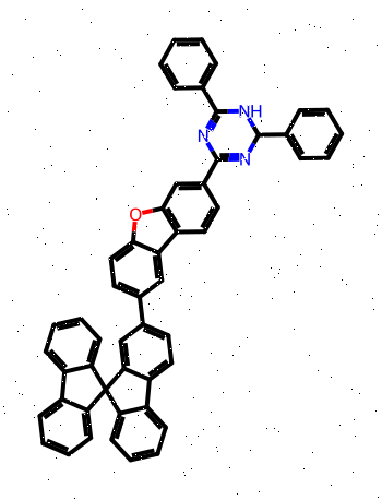 c1ccc(C2=NC(c3ccc4c(c3)oc3ccc(-c5ccc6c(c5)C5(c7ccccc7-c7ccccc75)c5ccccc5-6)cc34)=NC(c3ccccc3)N2)cc1